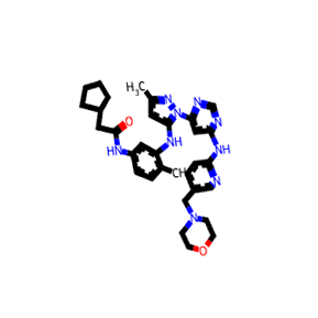 Cc1cc(Nc2cc(NC(=O)CC3CCCC3)ccc2C)n(-c2cc(Nc3ccc(CN4CCOCC4)cn3)ncn2)n1